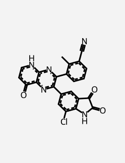 Cc1c(C#N)cccc1-c1nc2[nH]ccc(=O)c2nc1-c1cc(Cl)c2c(c1)C(=O)C(=O)N2